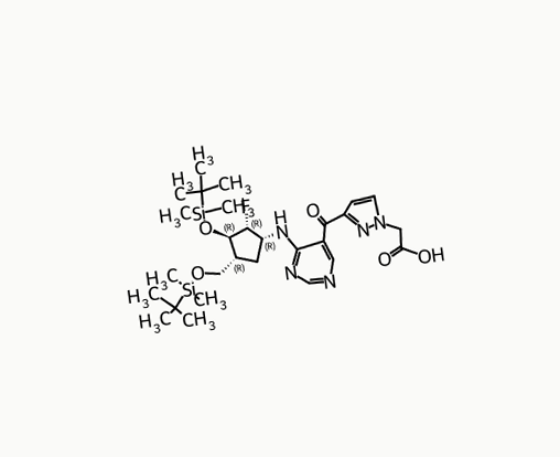 CC(C)(C)[Si](C)(C)OC[C@H]1C[C@@H](Nc2ncncc2C(=O)c2ccn(CC(=O)O)n2)[C@@H](F)[C@@H]1O[Si](C)(C)C(C)(C)C